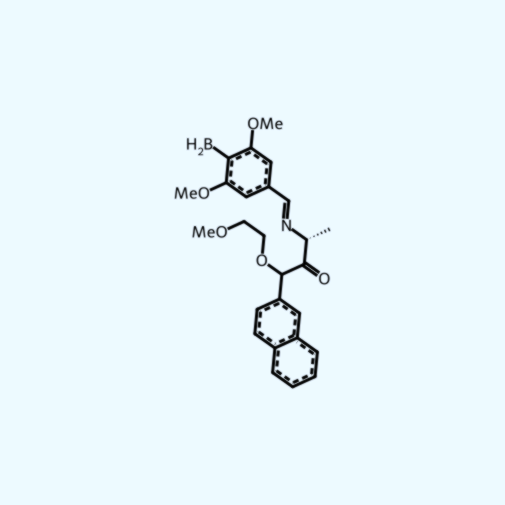 Bc1c(OC)cc(/C=N/[C@H](C)C(=O)C(OCCOC)c2ccc3ccccc3c2)cc1OC